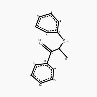 CC(Sc1ccccc1)C(=O)c1ccccc1